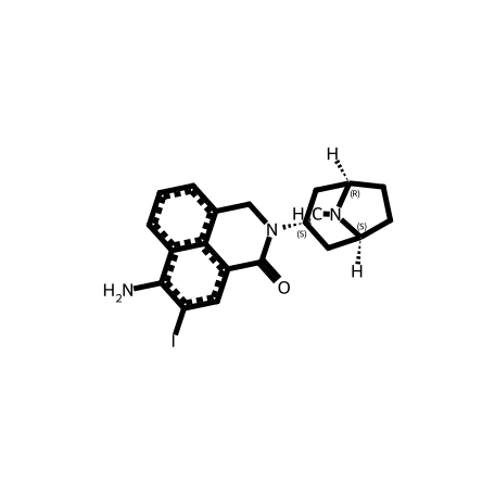 CN1[C@@H]2CC[C@H]1C[C@H](N1Cc3cccc4c(N)c(I)cc(c34)C1=O)C2